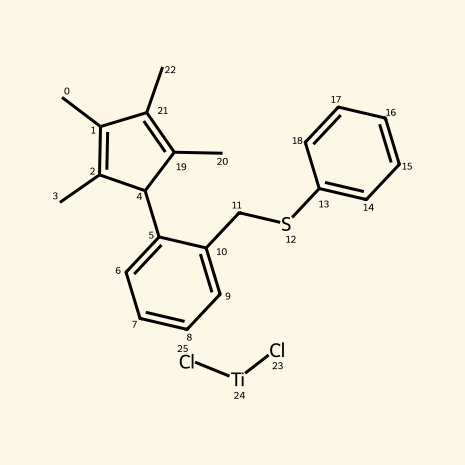 CC1=C(C)C(c2ccccc2CSc2ccccc2)C(C)=C1C.[Cl][Ti][Cl]